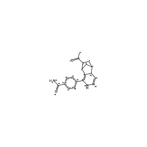 CC(=O)C1CC2CC1C1=C(c3ccc(C(N)=O)cc3)NN=CC12